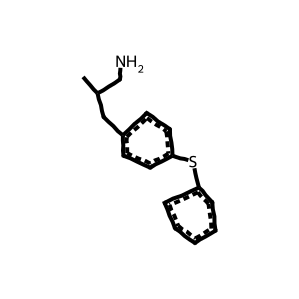 CC(CN)Cc1ccc(Sc2ccccc2)cc1